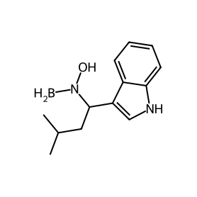 BN(O)C(CC(C)C)c1c[nH]c2ccccc12